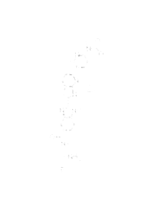 CCc1nc(N2CCOC2=O)ccc1-c1ccc2cc(-c3nc4cc5c(cc4n3C)CCN(CC(N)CF)C5=O)n(CC3CC3)c2n1